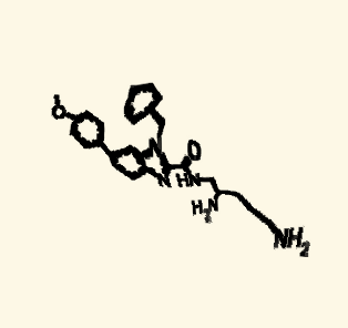 COc1ccc(-c2ccc3nc(C(=O)NCC(N)CCCN)n(Cc4ccccc4)c3c2)cc1